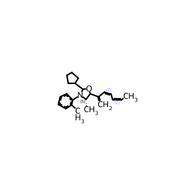 C=C(/C=C\C=C/C)C1OC(C2CCCC2)N(c2ccccc2C)[C@H]1C